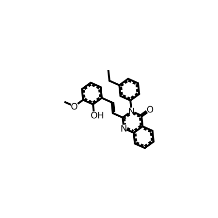 CCc1cccc(-n2c(C=Cc3cccc(OC)c3O)nc3ccccc3c2=O)c1